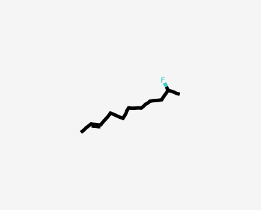 C/C=C/CCCCCCC(C)F